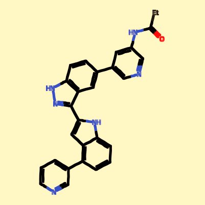 CCC(=O)Nc1cncc(-c2ccc3[nH]nc(-c4cc5c(-c6cccnc6)cccc5[nH]4)c3c2)c1